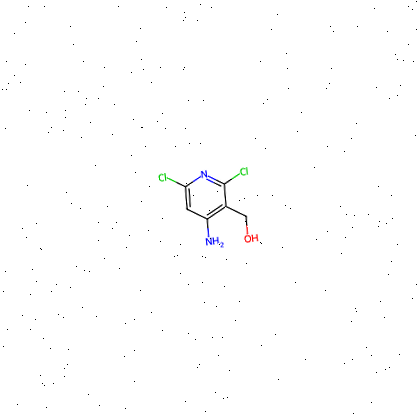 Nc1cc(Cl)nc(Cl)c1CO